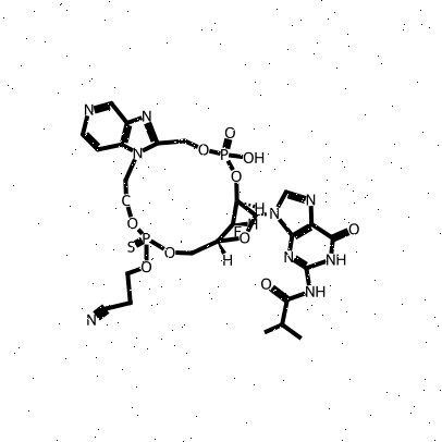 CC(C)C(=O)Nc1nc2c(ncn2[C@@H]2O[C@@H]3COP(=S)(OCCC#N)OCCn4c(nc5cnccc54)COP(=O)(O)O[C@@H]2[C@@H]3F)c(=O)[nH]1